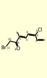 C=C/C(Cl)=C\C=C(/C)C(=O)CBr